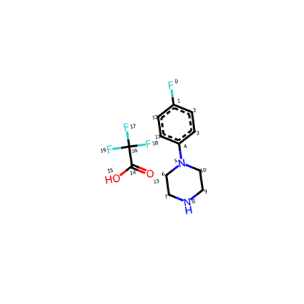 Fc1ccc(N2CCNCC2)cc1.O=C(O)C(F)(F)F